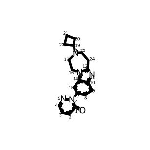 O=c1cccnn1-c1ccc2nc3n(c2c1)CCN(C1CCC1)CC3